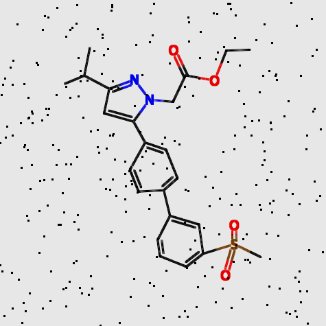 CCOC(=O)Cn1nc(C(C)C)cc1-c1ccc(-c2cccc(S(C)(=O)=O)c2)cc1